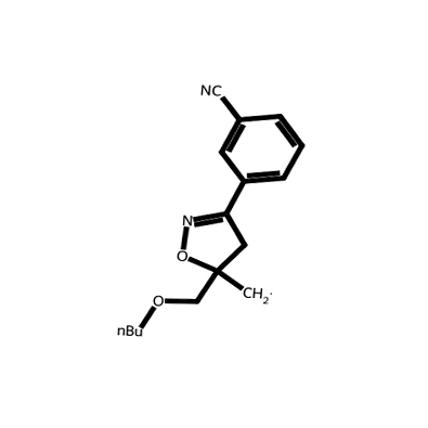 [CH2]C1(COCCCC)CC(c2cccc(C#N)c2)=NO1